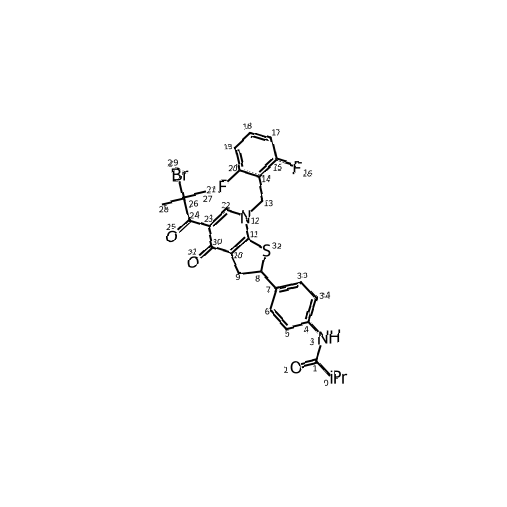 CC(C)C(=O)Nc1ccc(C2Cc3c(n(Cc4c(F)cccc4F)cc(C(=O)C(C)(C)Br)c3=O)S2)cc1